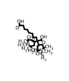 CN1C(C)(C)C=C(C(CCCCCCCC(=O)O)(C(=O)O)C2=CC(C)(C)N(C)C(C)(C)C2)CC1(C)C